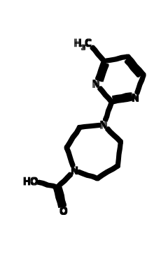 Cc1ccnc(N2CCCN(C(=O)O)CC2)n1